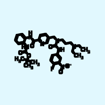 CCN(CC)CCCN(Cc1ccc(C(=O)Nc2ccccc2NC(=O)OC(C)(C)C)nc1)C(=O)Nc1ccc(F)c([N+](=O)[O-])c1